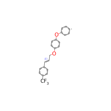 FC(F)(F)c1ccc(/C=C/COc2ccc(Oc3cc[c]cc3)cc2)cc1